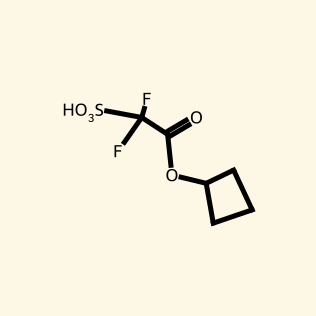 O=C(OC1CCC1)C(F)(F)S(=O)(=O)O